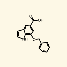 O=C(O)c1cc(OCc2ccccc2)c2[nH]ccc2c1